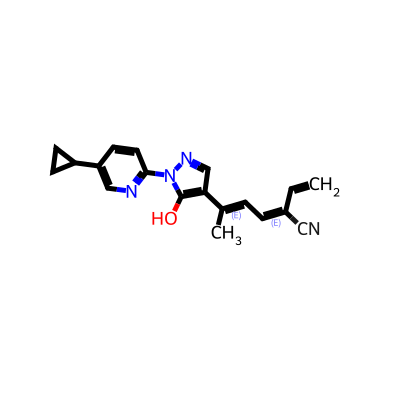 C=C/C(C#N)=C\C=C(/C)c1cnn(-c2ccc(C3CC3)cn2)c1O